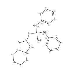 OC(CC1CC2COCCN2O1)(Nc1ccccc1)Nc1ccccc1